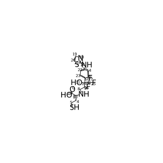 O=C(O)[C@H](CCS)NCCC(O)(c1ccc(Nc2nccs2)cc1)C(F)(F)F